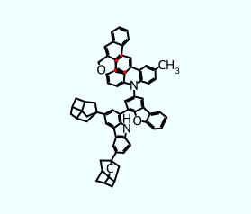 Cc1ccc(N(c2ccc3c(c2)-c2cc4ccccc4cc2CO3)c2cc(-c3cc(C45CC6CC7CC(C4)C76C5)cc4c3[nH]c3ccc(C56CC7CC8CC(C5)C87C6)cc34)c3oc4ccccc4c3c2)c(-c2ccccc2)c1